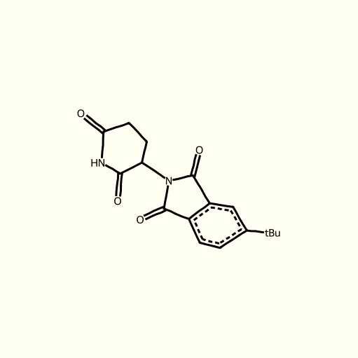 CC(C)(C)c1ccc2c(c1)C(=O)N(C1CCC(=O)NC1=O)C2=O